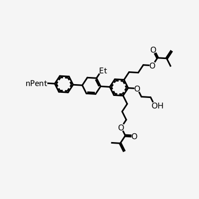 C=C(C)C(=O)OCCCc1cc(C2=C(CC)CC(c3ccc(CCCCC)cc3)C=C2)cc(CCCOC(=O)C(=C)C)c1OCCO